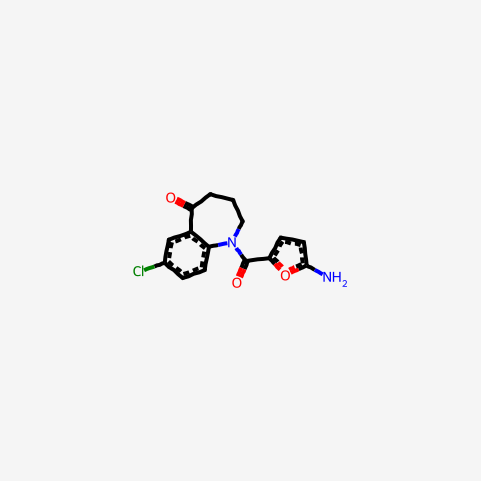 Nc1ccc(C(=O)N2CCCC(=O)c3cc(Cl)ccc32)o1